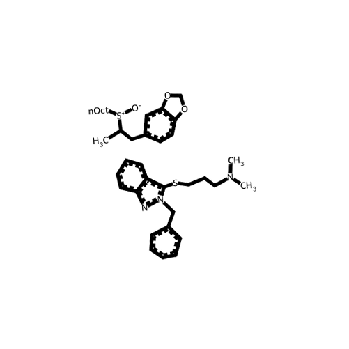 CCCCCCCC[S+]([O-])C(C)Cc1ccc2c(c1)OCO2.CN(C)CCCSc1c2ccccc2nn1Cc1ccccc1